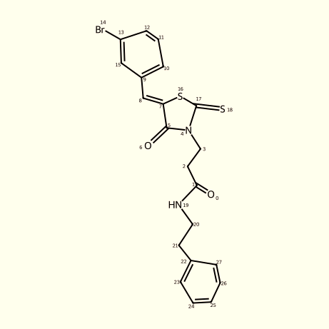 O=C(CCN1C(=O)/C(=C/c2cccc(Br)c2)SC1=S)NCCc1ccccc1